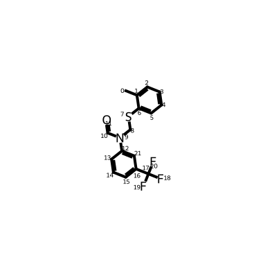 Cc1ccccc1SCN(C=O)c1cccc(C(F)(F)F)c1